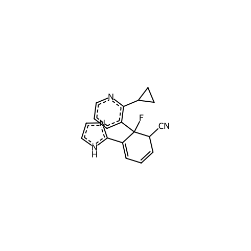 N#CC1C=CC=C(c2ncc[nH]2)C1(F)c1cccnc1C1CC1